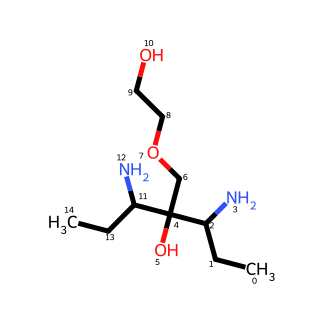 CCC(N)C(O)(COCCO)C(N)CC